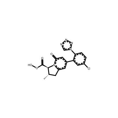 C[C@H]1Cc2cc(-c3cc(Cl)ccc3-n3cnnn3)cc(=O)n2[C@@H]1C(=O)OO